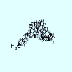 CCc1cc(Nc2nc(Nc3ccc4nccnc4c3P(C)(C)=O)c(Cl)c3cccnc23)c(OC)cc1N1CCC(N2CCN(C)CC2)CC1